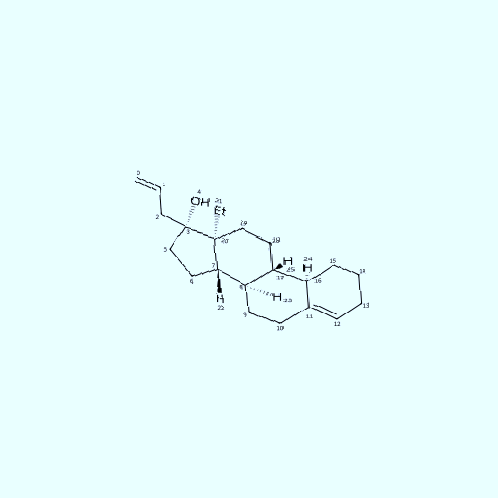 C=CC[C@]1(O)CC[C@H]2[C@@H]3CCC4=CCCC[C@@H]4[C@H]3CC[C@@]21CC